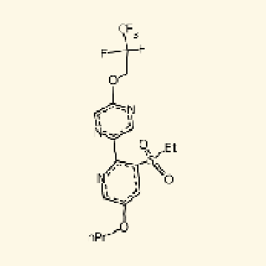 CCCOc1cnc(-c2cnc(OCC(F)(F)C(F)(F)F)cn2)c(S(=O)(=O)CC)c1